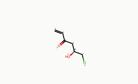 C=CC(=O)C[C@H](O)CCl